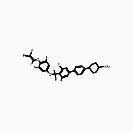 CCCCC1CCC(c2ccc(-c3cc(F)c(C(F)(F)Oc4cc(F)c(OC(F)=C(F)F)c(F)c4)c(F)c3)cc2)CC1